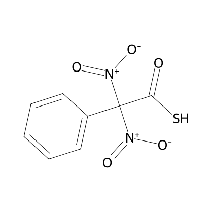 O=C(S)C(c1ccccc1)([N+](=O)[O-])[N+](=O)[O-]